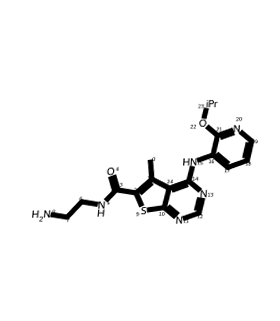 Cc1c(C(=O)NCCN)sc2ncnc(Nc3cccnc3OC(C)C)c12